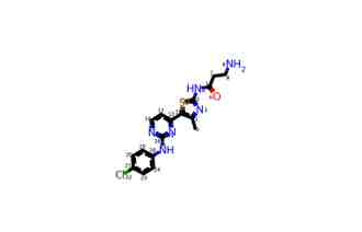 Cc1nc(NC(=O)CCN)sc1-c1ccnc(Nc2ccc(Cl)cc2)n1